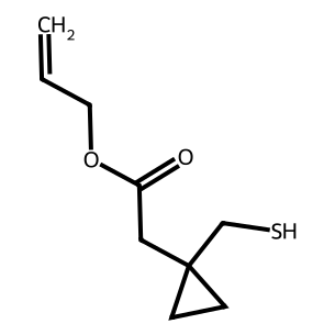 C=CCOC(=O)CC1(CS)CC1